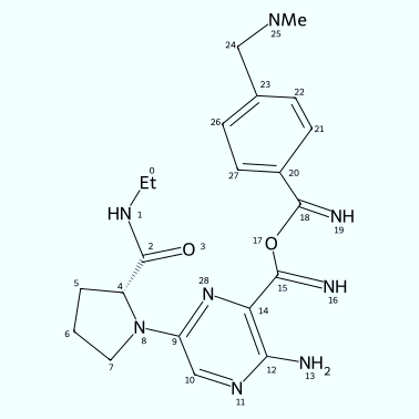 CCNC(=O)[C@H]1CCCN1c1cnc(N)c(C(=N)OC(=N)c2ccc(CNC)cc2)n1